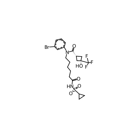 O=C(CCCCCN(c1cccc(Br)c1)C(=O)[C@H]1C[C@](O)(C(F)(F)F)C1)NS(=O)(=O)C1CC1